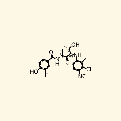 [C-]#[N+]c1ccc(N[C@@H](C(=O)NNC(=O)c2ccc(O)c(F)c2)[C@H](C)O)c(C)c1Cl